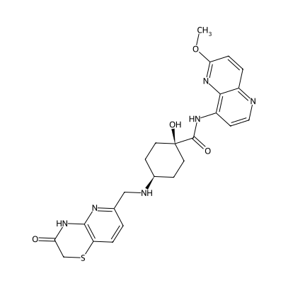 COc1ccc2nccc(NC(=O)[C@]3(O)CC[C@@H](NCc4ccc5c(n4)NC(=O)CS5)CC3)c2n1